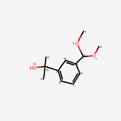 COC(OC)c1cccc(C(C)(C)O)c1